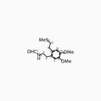 COc1cc(CCNC=O)c(CCSC)cc1OC